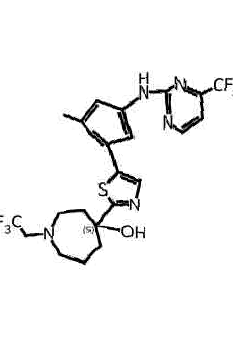 Cc1cc(Nc2nccc(C(F)(F)F)n2)cc(-c2cnc([C@]3(O)CCCN(CC(F)(F)F)CC3)s2)c1